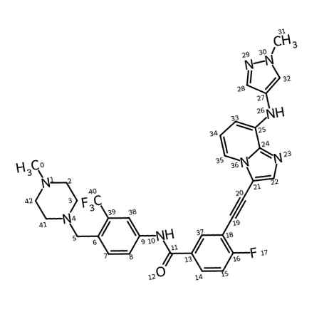 CN1CCN(Cc2ccc(NC(=O)c3ccc(F)c(C#Cc4cnc5c(Nc6cnn(C)c6)cccn45)c3)cc2C(F)(F)F)CC1